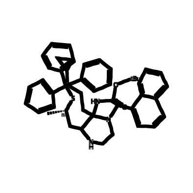 C[C@@H](CC1NCCN(C(=O)c2cccc3ccccc23)C1(CCOC1CC1)NC(=O)OC(C)(C)C)SC(c1ccccc1)(c1ccccc1)c1ccccc1